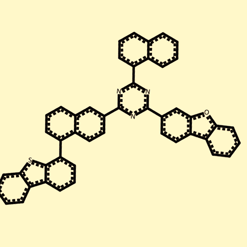 c1ccc2c(-c3nc(-c4ccc5c(-c6cccc7c6sc6ccccc67)cccc5c4)nc(-c4ccc5c(c4)oc4ccccc45)n3)cccc2c1